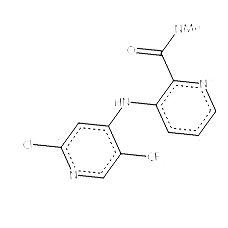 CNC(=O)c1ncccc1Nc1cc(Cl)ncc1C(F)(F)F